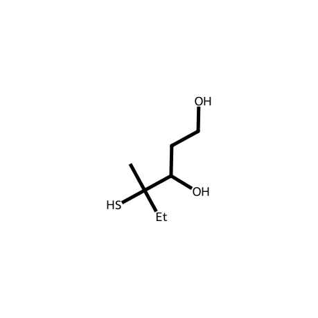 CCC(C)(S)C(O)CCO